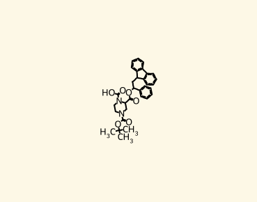 CC(C)(C)OC(=O)N1CCN(C(=O)O)C(C(=O)OC(CC2c3ccccc3-c3ccccc32)c2ccccc2)C1